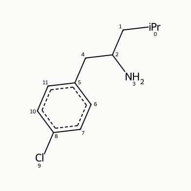 CC(C)CC(N)Cc1ccc(Cl)cc1